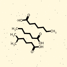 CC(C)CCCC(=O)O.CCCCCC(=O)O.CCCCCCC(=O)O